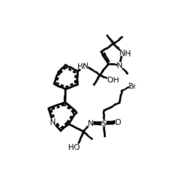 CN1NC(C)(C)C=C1C(C)(O)Nc1cccc(-c2cncc(C(C)(O)N=S(C)(=O)CCCBr)c2)c1